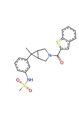 CC1(c2cccc(NS(C)(=O)=O)c2)C2CN(C(=O)c3cc4ccccc4s3)CC21